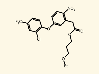 CCOCCCOC(=O)Cc1cc(Oc2ccc(C(F)(F)F)cc2Cl)ccc1[N+](=O)[O-]